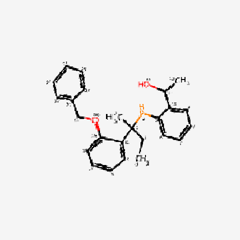 CCC(C)(Pc1ccccc1C(C)O)c1ccccc1OCc1ccccc1